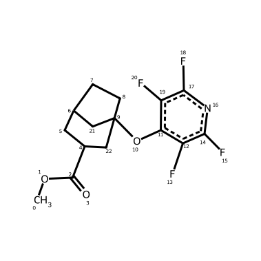 COC(=O)C1CC2CCC(Oc3c(F)c(F)nc(F)c3F)(C2)C1